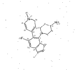 Cc1noc2c(N3CCC(N)CC3)c(C3=CCN(C)C=C3)c(F)cc12